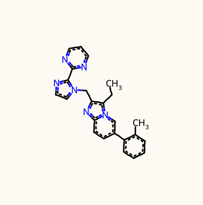 CCc1c(Cn2ccnc2-c2ncccn2)nc2ccc(-c3ccccc3C)cn12